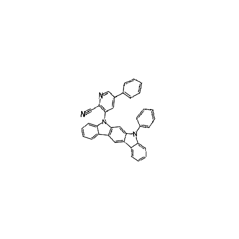 N#Cc1ncc(-c2ccccc2)cc1-n1c2ccccc2c2cc3c4ccccc4n(-c4ccccc4)c3cc21